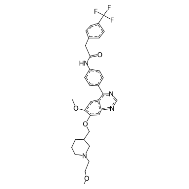 COCCN1CCCC(COc2cc3ncnc(-c4ccc(NC(=O)Cc5ccc(C(F)(F)F)cc5)cc4)c3cc2OC)C1